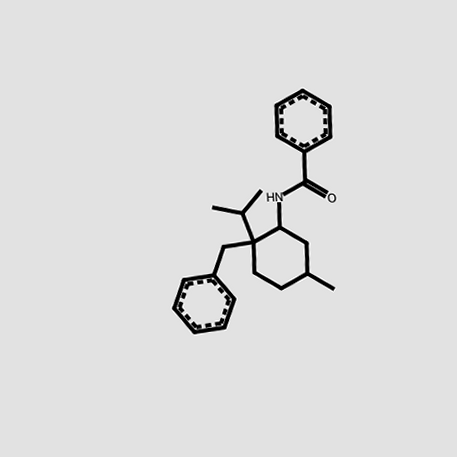 CC1CCC(Cc2ccccc2)(C(C)C)C(NC(=O)c2ccccc2)C1